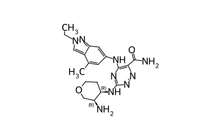 CCn1cc2c(C)cc(Nc3nc(N[C@@H]4CCOC[C@@H]4N)nnc3C(N)=O)cc2n1